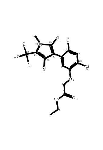 CCOC(=O)COc1cc(-c2c(Cl)c(C(F)(F)F)n(C)c2Cl)c(F)cc1Cl